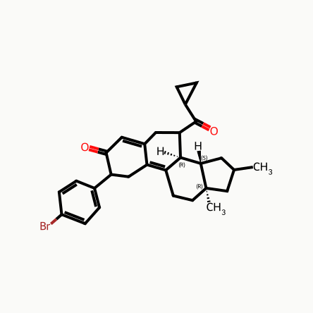 CC1C[C@H]2[C@H]3C(=C4CC(c5ccc(Br)cc5)C(=O)C=C4CC3C(=O)C3CC3)CC[C@]2(C)C1